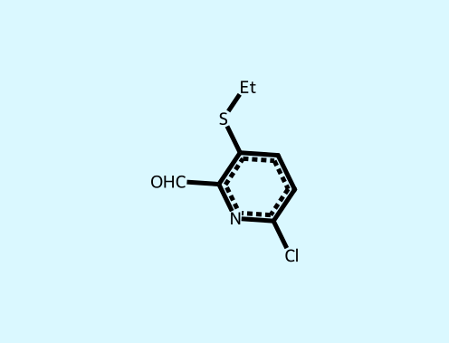 CCSc1ccc(Cl)nc1C=O